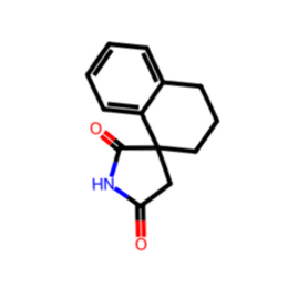 O=C1CC2(CCCc3ccccc32)C(=O)N1